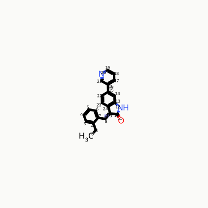 CCc1ccccc1/C=C1/C(=O)Nc2cc(-c3cccnc3)ccc21